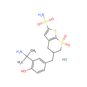 CC(C)(N)c1cc(CC2Cc3cc(S(N)(=O)=O)sc3S(=O)(=O)C2)ccc1O.Cl